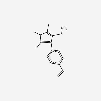 C=Cc1ccc(C2=C(C)C(C)C(C)=C2CN)cc1